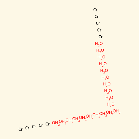 O.O.O.O.O.O.O.O.O.O.O.O.O.O.O.O.O.O.O.O.[Cr].[Cr].[Cr].[Cr].[Cr].[Cr].[Cr].[Cr].[Cr].[Cr]